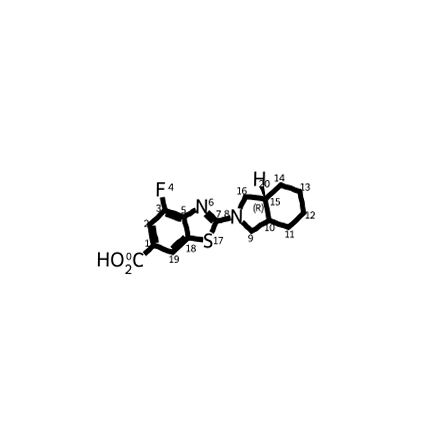 O=C(O)c1cc(F)c2nc(N3CC4CCCC[C@H]4C3)sc2c1